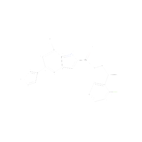 CCCC(CCC(=O)C1=CC2C=C(c3ccoc3)C=C(C(F)(F)F)C2=N1)c1ccccc1F